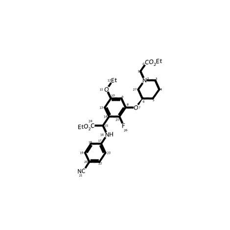 CCOC(=O)CN1CCC[C@@H](Oc2cc(OCC)cc(C(Nc3ccc(C#N)cc3)C(=O)OCC)c2F)C1